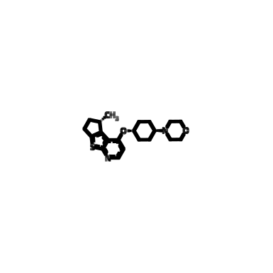 C[C@H]1CCc2sc3nccc(O[C@H]4CC[C@H](N5CCOCC5)CC4)c3c21